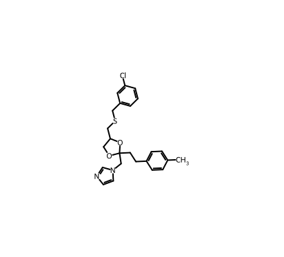 Cc1ccc(CCC2(Cn3ccnc3)OCC(CSCc3cccc(Cl)c3)O2)cc1